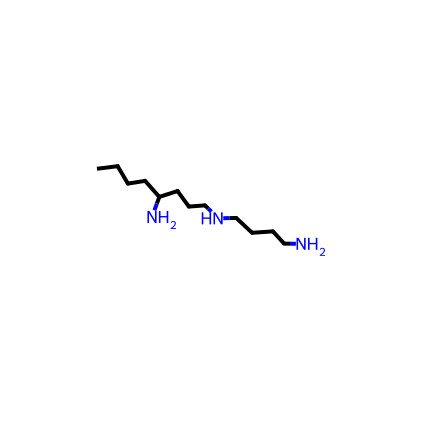 CCCCC(N)CCCNCCCCN